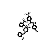 COc1ccc(NC(=O)c2ccc([N+](=O)[O-])cc2NC(=O)c2ccccc2OC2(OC)CCN(Cc3ccccc3OC)CC2)cc1